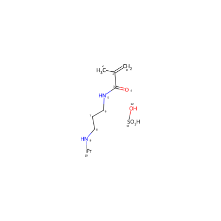 C=C(C)C(=O)NCCCNC(C)C.O=S(=O)(O)O